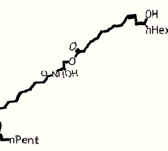 CCCCC/C=C\C/C=C\CCCCCCCC(=O)NCC(O)COC(=O)CCCCCCC/C=C\C[C@@H](O)CCCCCC